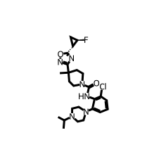 CC(C)N1CCN(c2cccc(Cl)c2NC(=O)N2CCC(C)(c3noc([C@@H]4C[C@H]4F)n3)CC2)CC1